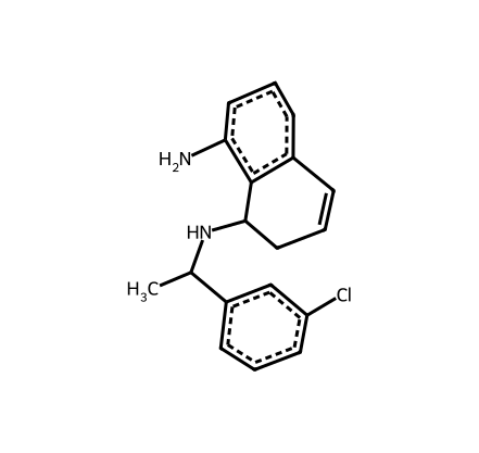 CC(NC1CC=Cc2cccc(N)c21)c1cccc(Cl)c1